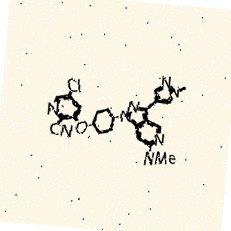 CNc1cc2c(cn1)c(-c1cnn(C)c1)nn2[C@H]1CC[C@@H](Oc2cc(Cl)cnc2C#N)CC1